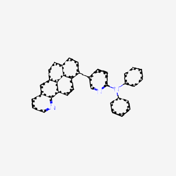 c1ccc(N(c2ccccc2)c2ccc(-c3ccc4ccc5cc6cccnc6c6ccc3c4c56)cn2)cc1